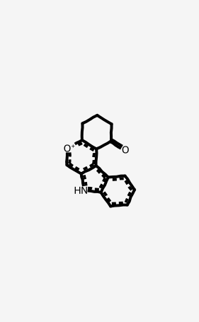 O=C1CCCc2[o+]cc3[nH]c4ccccc4c3c21